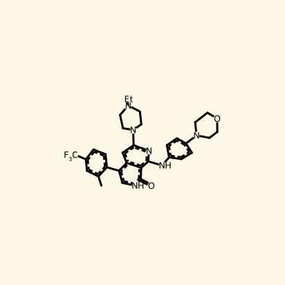 CCN1CCN(c2cc3c(-c4ccc(C(F)(F)F)cc4C)c[nH]c(=O)c3c(Nc3ccc(N4CCOCC4)cc3)n2)CC1